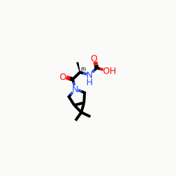 C[C@@H](NC(=O)O)C(=O)N1CC2C(C1)C2(C)C